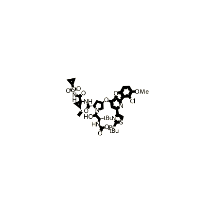 C=C[C@@H]1C[C@]1(NC(=O)[C@@H]1C[C@@H](Oc2cc(-c3csc(C(C)C)n3)nc3c2oc2ccc(OC)c(Cl)c23)CN1C(O)[C@@H](NC(=O)OC(C)(C)C)C(C)(C)C)C(=O)NS(=O)(=O)C1CC1